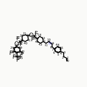 C=CCCc1ccc(C/C=C\CC2CCC(C(F)(F)OC3CCC(C(F)(F)Oc4cc(F)c(C(F)(F)F)c(F)c4)CC3)CC2)cc1